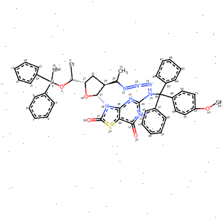 CCC(O[Si](c1ccccc1)(c1ccccc1)C(C)(C)C)[C@@H]1C[C@@H](C(C)N=[N+]=[N-])[C@H](n2c(=O)sc3c(=O)[nH]c(NC(c4ccccc4)(c4ccccc4)c4ccc(O[SiH3])cc4)nc32)O1